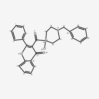 O=C(c1c(-c2ccccc2)oc2ccccc2c1=O)[N+]1([O-])CCN(Cc2ccccc2)CC1